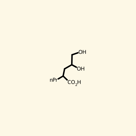 CCCC(CC(O)CO)C(=O)O